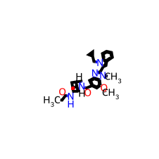 CCC(=O)N[C@H]1C2C[C@@H]3CN(C(=O)c4cc(OC)c5c(c4)nc(-c4cc6ccccc6n4CC4CC4)n5C)[C@H]1[C@H]23